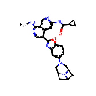 CNc1ncc(-c2nc3cc(N4CC5CC6CC(C4)N65)ccc3o2)c2cc(NC(=O)C3CC3)ncc12